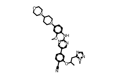 COc1cc(N2CCC(N3CCOCC3)CC2)ccc1Nc1ncc(-c2ccc(C#N)c(OC(C)Cc3ncnn3C)c2)cn1